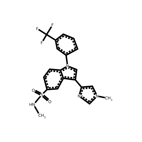 CNS(=O)(=O)c1ccc2c(c1)c(-c1cn(C)cn1)cn2-c1cccc(C(F)(F)F)c1